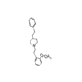 COc1ccccc1CCN1CCC(CCc2ccccc2)CC1